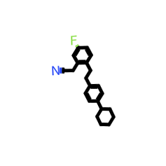 N#CCc1cc(F)ccc1CCc1ccc(C2CCCCC2)cc1